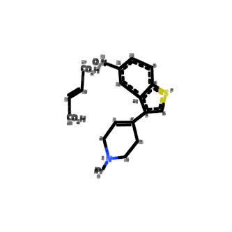 CC(C)N1CC=C(c2csc3ccc([N+](=O)[O-])cc23)CC1.O=C(O)C=CC(=O)O